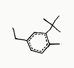 [CH2]c1ccc(CC)cc1C(C)(C)C